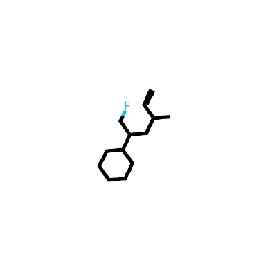 C=CC(C)CC(CF)C1CCCCC1